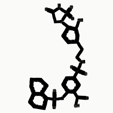 O=C1CN(c2ccc(CCNS(=O)(=O)c3ccc(OS(=O)(=O)c4cccc5ccccc45)c(C(=O)O)c3)cc2O)S(=O)(=O)N1